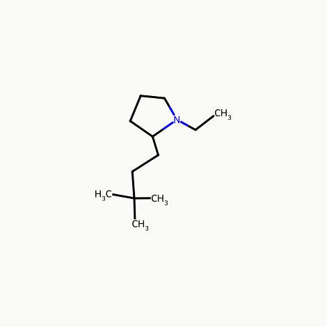 CCN1CCCC1CCC(C)(C)C